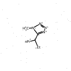 CCCC(CC)c1nnnn1C